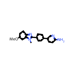 COc1ccc2nc(-c3ccc(-c4ccc(N)nc4)cc3)n(C)c2c1